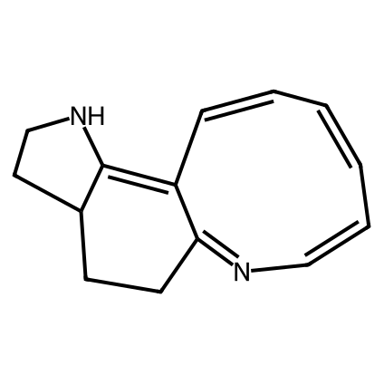 C1=CC=CC2=C3NCCC3CCC2=NC=C1